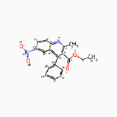 CCOC(=O)c1c(C)nc2ccc([N+](=O)[O-])cc2c1-c1ccccc1